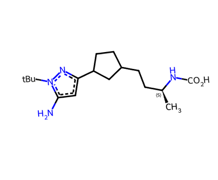 C[C@@H](CCC1CCC(c2cc(N)n(C(C)(C)C)n2)C1)NC(=O)O